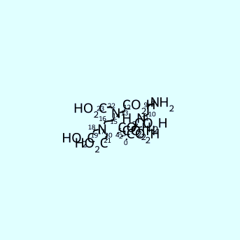 CC(=O)O.CC(=O)O.CC(=O)O.CC(=O)O.NCCN.O=C(O)CN(CCN(CC(=O)O)CC(=O)O)CC(=O)O